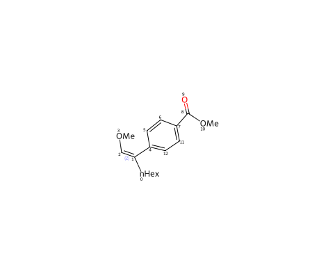 CCCCCC/C(=C/OC)c1ccc(C(=O)OC)cc1